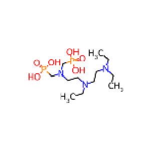 CCN(CC)CCN(CC)CCN(CP(=O)(O)O)CP(=O)(O)O